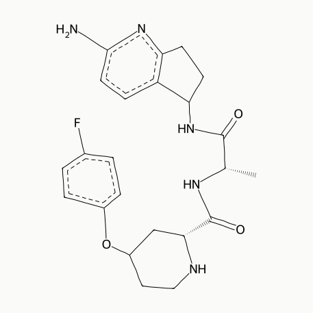 C[C@H](NC(=O)[C@H]1CC(Oc2ccc(F)cc2)CCN1)C(=O)NC1CCc2nc(N)ccc21